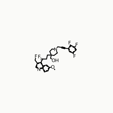 COc1ccc2ncc(CF)c([C@H](F)CCC3(CO)CCN(CC#Cc4cc(F)cc(F)c4F)CC3)c2c1